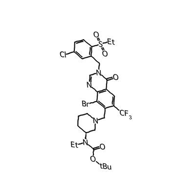 CCN(C(=O)OC(C)(C)C)[C@H]1CCCN(Cc2c(C(F)(F)F)cc3c(=O)n(Cc4cc(Cl)ccc4S(=O)(=O)CC)cnc3c2Br)C1